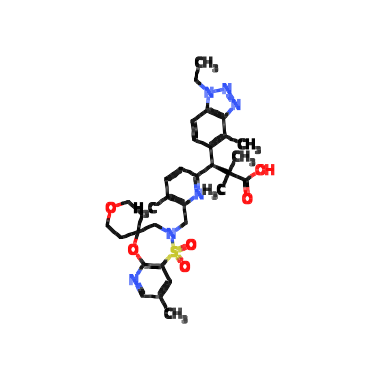 CCn1nnc2c(C)c([C@H](c3ccc(C)c(CN4CC5(CCOCC5)Oc5ncc(C)cc5S4(=O)=O)n3)C(C)(C)C(=O)O)ccc21